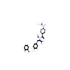 CC(C)c1nc(-c2ccc(NS(=O)(=O)Cc3ccccc3Cl)c(F)c2)c2c(N)ncc(C3=CCC(N(C)C(=O)OC(C)(C)C)CC3)n12